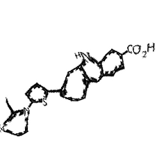 Cc1nccn1-c1ccc(-c2ccc3c(c2)[nH]c2cc(C(=O)O)ccc23)s1